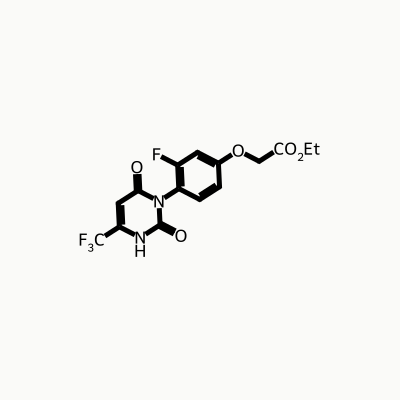 CCOC(=O)COc1ccc(-n2c(=O)cc(C(F)(F)F)[nH]c2=O)c(F)c1